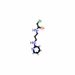 O=C(CBr)NCCCNc1ccccn1